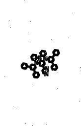 c1ccc(-c2cc(-c3ccccc3)cc(N3c4ccccc4B4c5ccccc5N(c5cc(-c6ccccc6)cc(-c6ccccc6)c5)c5cc(-c6ccncn6)cc3c54)c2)cc1